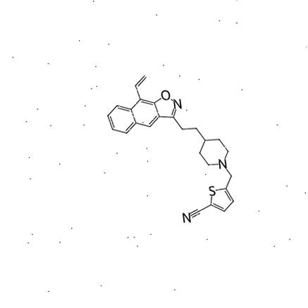 C=Cc1c2ccccc2cc2c(CCC3CCN(Cc4ccc(C#N)s4)CC3)noc12